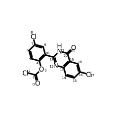 O=C(Cl)Oc1ccc(Cl)cc1-c1nc2ccc(Cl)cc2c(=O)[nH]1